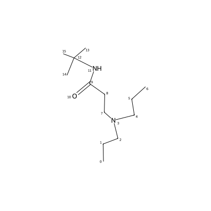 CCCN(CCC)CCC(=O)NC(C)(C)C